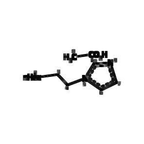 CC(=O)O.CCCCCCCCn1ccnc1